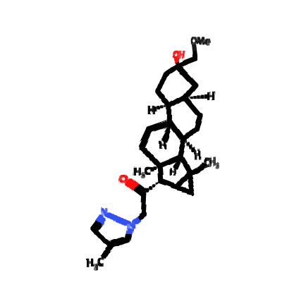 COC[C@@]1(O)CC[C@H]2[C@H](CC[C@@H]3[C@@H]2CC[C@@]2(C)[C@H]3C3(C)CC3[C@@H]2C(=O)Cn2cc(C)cn2)C1